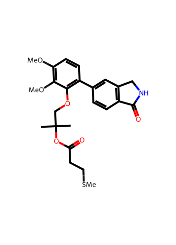 COc1ccc(-c2ccc3c(c2)CNC3=O)c(OCC(C)(C)OC(=O)CCSC)c1OC